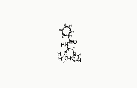 CC(Cc1cncn1C)NC(=O)c1ccccc1